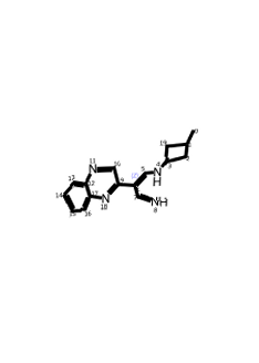 CC1CC(N/C=C(\C=N)c2cnc3ccccc3n2)C1